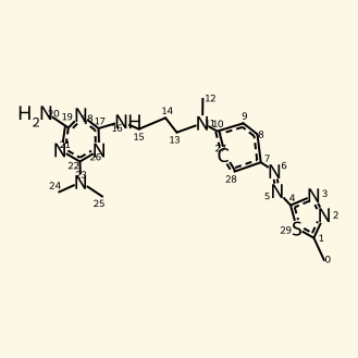 Cc1nnc(/N=N/c2ccc(N(C)CCCNc3nc(N)nc(N(C)C)n3)cc2)s1